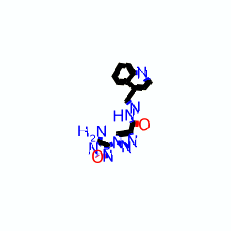 Nc1nonc1-n1cc(C(=O)NN=Cc2ccnc3ccccc23)nn1